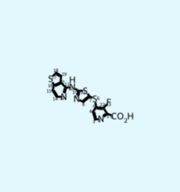 O=C(O)c1nccc(Sc2cnc(Nc3nccc4sccc34)s2)c1F